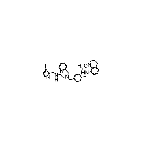 CN1CCCc2cccc(NCc3ccc(CN(CCNCc4ncc[nH]4)Cc4ccccn4)cc3)c21